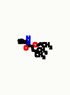 C=CCOC(CC(=C)C)C(=O)NC(C)(C)C